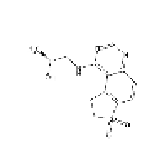 C[C@H](O)CNc1ncnc2ccc3c(c12)CCS3(=O)=O